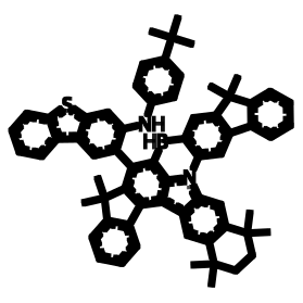 CC(C)(C)c1ccc(Nc2cc3sc4ccccc4c3cc2-c2c3c(c4c5cc6c(cc5n5c4c2Bc2cc4c(cc2-5)-c2ccccc2C4(C)C)C(C)(C)CCC6(C)C)-c2ccccc2C3(C)C)cc1